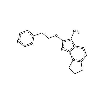 Nc1c(OCCc2ccncc2)nn2c3c(ccc12)CCC3